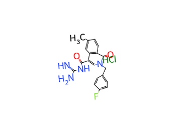 Cc1ccc2c(=O)n(Cc3ccc(F)cc3)cc(C(=O)NC(=N)N)c2c1.Cl